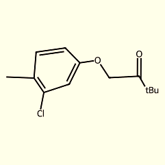 Cc1ccc(OCC(=O)C(C)(C)C)cc1Cl